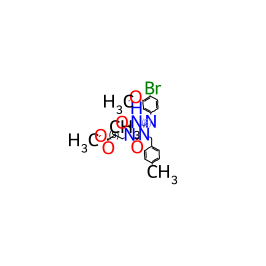 COC(=O)[C@@H](C)Cn1c(=O)[nH]/c(=N\c2ccc(Br)c(OC)c2)n(Cc2ccc(C)cc2)c1=O